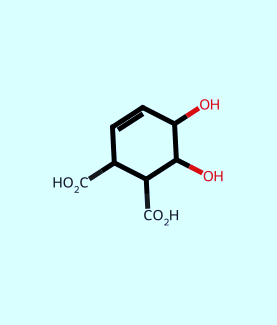 O=C(O)C1C=CC(O)C(O)C1C(=O)O